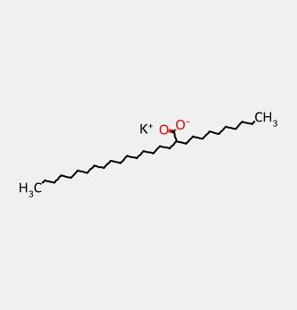 CCCCCCCCCCCCCCCCCC(CCCCCCCCCC)C(=O)[O-].[K+]